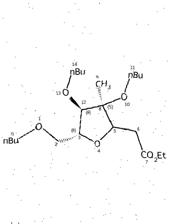 CCCCOC[C@H]1OC(CC(=O)OCC)[C@](C)(OCCCC)[C@@H]1OCCCC